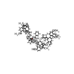 CN1CC[C@]23c4c5ccc(O)c4O[C@H]2[C@@H](O)C=C[C@H]3[C@H]1C5.COC(=O)[C@H]1[C@@H](OC(=O)c2ccccc2)C[C@@H]2CC[C@H]1N2C.COc1cc2c(c(OC)c1OC)-c1ccc(OC)c(=O)cc1[C@@H](NC(C)=O)CC2.COc1ccc2c3c1O[C@H]1[C@@H](O)C=C[C@H]4[C@@H](C2)N(C)CC[C@@]341